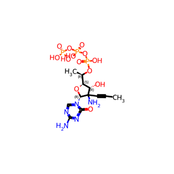 CC#CC1(N)[C@@H](O)[C@@H]([C@@H](C)OP(=O)(O)OP(=O)(O)OP(=O)(O)O)O[C@H]1n1cnc(N)nc1=O